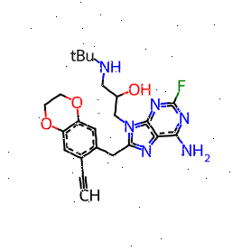 C#Cc1cc2c(cc1Cc1nc3c(N)nc(F)nc3n1CC(O)CNC(C)(C)C)OCCO2